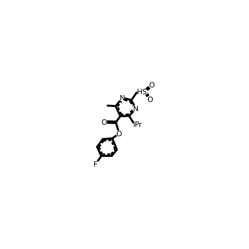 Cc1nc(C[SH](=O)=O)nc(C(C)C)c1C(=O)Oc1ccc(F)cc1